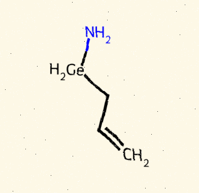 C=C[CH2][GeH2][NH2]